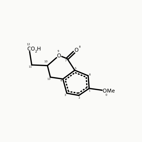 COc1ccc2c(c1)C(=O)OC(CC(=O)O)C2